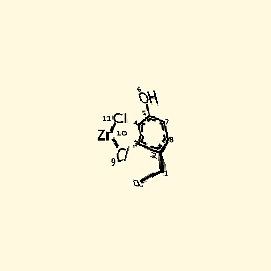 [CH2]Cc1ccc(O)cc1.[Cl][Zr][Cl]